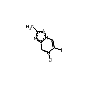 Nc1nc2n(n1)C=C(I)N(Cl)C2